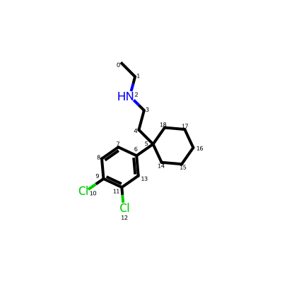 CCNCCC1(c2ccc(Cl)c(Cl)c2)CCCCC1